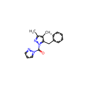 Cc1nn(C(=O)n2cccn2)c(Cc2ccccc2)c1C